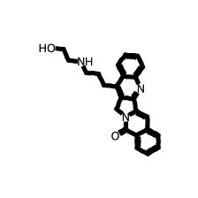 O=c1c2ccccc2cc2n1Cc1c-2nc2ccccc2c1CCCNCCO